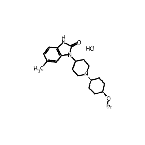 Cc1ccc2[nH]c(=O)n(C3CCN([C@H]4CC[C@H](OC(C)C)CC4)CC3)c2c1.Cl